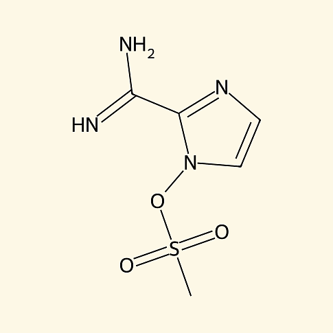 CS(=O)(=O)On1ccnc1C(=N)N